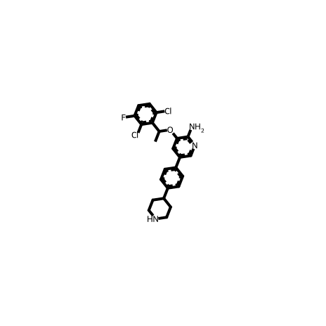 CC(Oc1cc(-c2ccc(C3CCNCC3)cc2)cnc1N)c1c(Cl)ccc(F)c1Cl